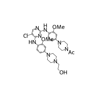 COc1cc(N2CCN(C(C)=O)CC2)ccc1Nc1ncc(Cl)c(Nc2ccc(N3CCN(CCO)CC3)cc2OC)n1